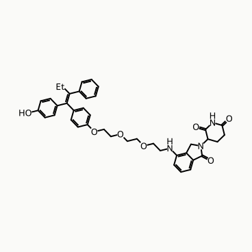 CCC(=C(c1ccc(O)cc1)c1ccc(OCCOCCOCCNc2cccc3c2CN(C2CCC(=O)NC2=O)C3=O)cc1)c1ccccc1